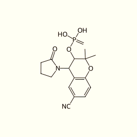 C=P(O)(O)OC1C(N2CCCC2=O)c2cc(C#N)ccc2OC1(C)C